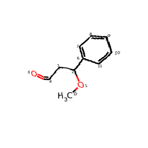 COC([CH]C=O)c1ccccc1